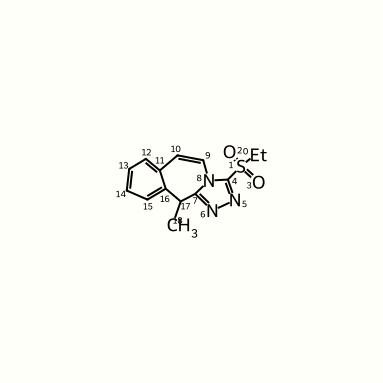 CCS(=O)(=O)c1nnc2n1C=Cc1ccccc1C2C